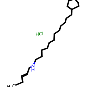 CCC=CCNCCCCCCCCCCCCC1CCCCC1.Cl